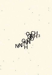 CC(NS(=O)(=O)c1ccc(NC(=O)[C@H]2CCN(C#N)C2)nc1)c1ccccc1